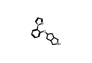 c1ccc(-n2cccn2)c(OC2CC3CNCC3C2)c1